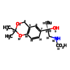 CC1(C)OCc2cc([C@@](O)(CNC(=O)O)C(C)(C)C)ccc2O1